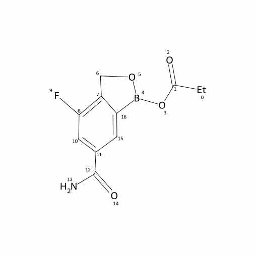 CCC(=O)OB1OCc2c(F)cc(C(N)=O)cc21